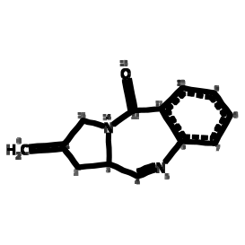 C=C1CC2C=Nc3ccccc3C(=O)N2C1